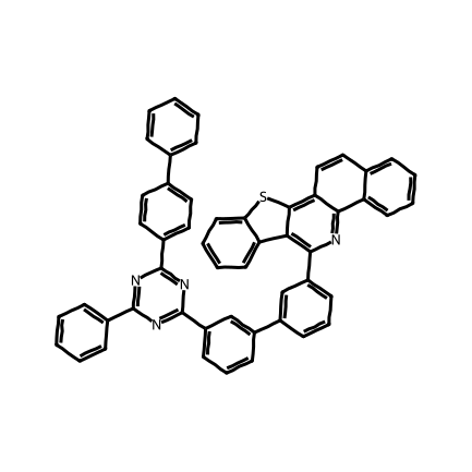 c1ccc(-c2ccc(-c3nc(-c4ccccc4)nc(-c4cccc(-c5cccc(-c6nc7c8ccccc8ccc7c7sc8ccccc8c67)c5)c4)n3)cc2)cc1